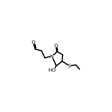 CCSC1CC(=O)N(CCC=O)C1O